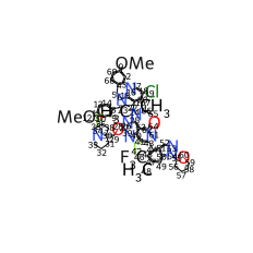 COc1ccc(CN(Cc2ccc(OC)cc2)c2ncc(Cl)cc2[C@@H](C)N2c3nc(OC[C@@]45CCCN4C[C@H](F)C5)nc4c(F)c(-c5c(C(F)(F)F)c(C)cc6c5cnn6C5CCCCO5)nc(c34)OC[C@@H]2C)cc1